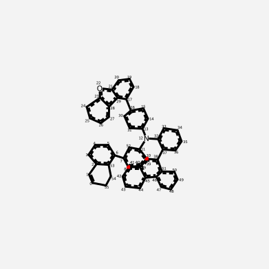 C1=Cc2cccc(-c3cccc(N(c4ccc(-c5cccc6oc7ccccc7c56)cc4)c4ccccc4-c4cc5ccccc5c5ccccc45)c3)c2CC1